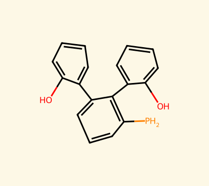 Oc1ccccc1-c1cccc(P)c1-c1ccccc1O